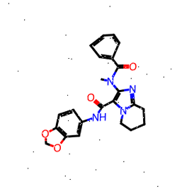 CN(C(=O)c1ccccc1)c1nc2n(c1C(=O)Nc1ccc3c(c1)OCO3)CCCC2